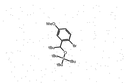 COc1ccc(Br)c(C(O[Si](C(C)(C)C)(C(C)(C)C)C(C)(C)C)C(C)(C)C)c1